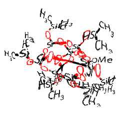 CO[Si]12O[Si]34OC([SiH](C)C)(O3)[Si@]3(O[SiH](C)C)O[Si@@](O[SiH](C)C)(O1)O[Si@@]1(O[SiH](C)C)O[Si](O[SiH](C)C)(O2)O[Si](O[SiH](C)C)(O4)O[Si@](O[SiH](C)C)(O1)O3